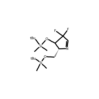 CC(C)(C)[Si](C)(C)OC[C@H]1N=CC(F)(F)C1O[Si](C)(C)C(C)(C)C